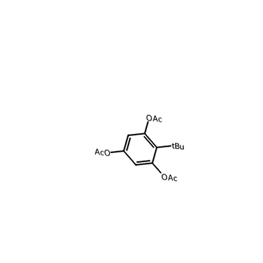 CC(=O)Oc1cc(OC(C)=O)c(C(C)(C)C)c(OC(C)=O)c1